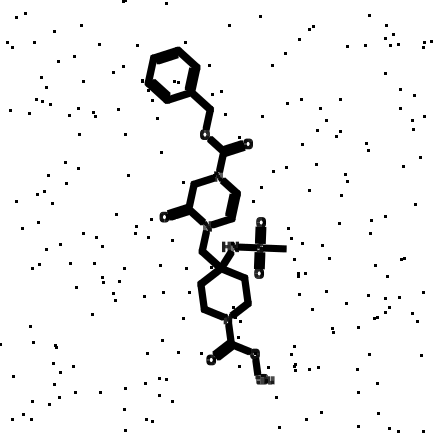 CC(C)(C)OC(=O)N1CCC(CN2C=CN(C(=O)OCc3ccccc3)CC2=O)(NS(C)(=O)=O)CC1